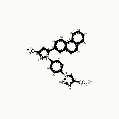 CCOC(=O)c1cn(-c2ccc(-n3nc(C(F)(F)F)cc3-c3ccc4c(ccc5ccccc54)c3)cc2)nn1